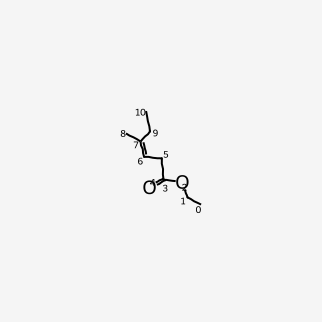 CCOC(=O)C/C=C(/C)CC